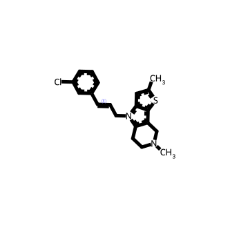 Cc1cc2c(s1)c1c(n2C/C=C/c2cccc(Cl)c2)CCN(C)C1